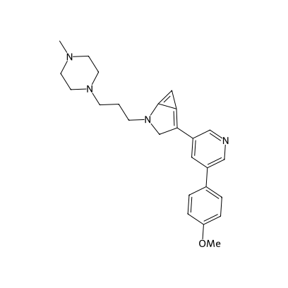 COc1ccc(-c2cncc(C3=C4C=C4N(CCCN4CCN(C)CC4)C3)c2)cc1